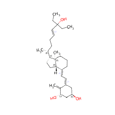 C=C1/C(=C\C=C2/CCC[C@]3(C)[C@@H]([C@H](C)CC/C=C/C(O)(CC)CC)CC[C@@H]23)C[C@@H](O)C[C@@H]1O